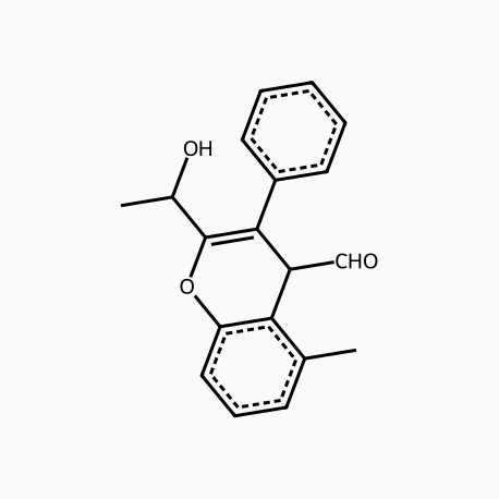 Cc1cccc2c1C(C=O)C(c1ccccc1)=C(C(C)O)O2